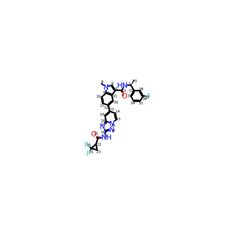 C[C@H](NC(=O)c1cn(C)c2ccc(-c3ccn4nc(NC(=O)C5CC5(F)F)nc4c3)cc12)c1cccc(F)c1